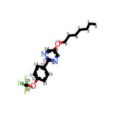 CCCCCCCOc1cnc(-c2ccc(OC(F)(F)F)cc2)nc1